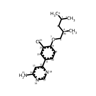 CC(C)C[C@@H](C)COc1ccc(-c2cc(N)ncn2)cc1Cl